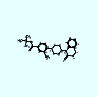 CC(C)(C)OC(=O)c1ccc(N2CCC(N3C(=O)OCc4ccccc43)CC2)c(N)c1